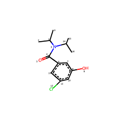 CC(C)N(C(=O)c1cc(O)cc(Cl)c1)C(C)C